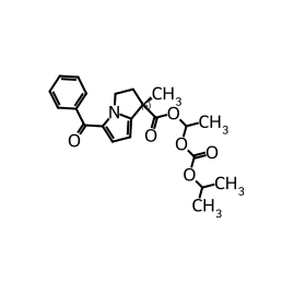 CC(C)OC(=O)OC(C)OC(=O)[C@@]1(C)CCn2c(C(=O)c3ccccc3)ccc21